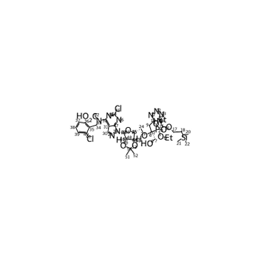 CCOP(=O)(OCC)[C@](CO)(Cc1nnnn1COCC[Si](C)(C)C)OC[C@H]1O[C@@H](n2ncc3c(N(Cc4ccccc4Cl)C(=O)O)nc(Cl)nc32)[C@@H]2OC(C)(C)O[C@@H]21